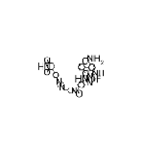 NC(=O)c1ccc(Nc2nc(Nc3ccc(C(=O)N4CCC(CN5CCN(c6ccc(C7CCC(=O)NC7=O)cc6)CC5)CC4)cc3)ncc2F)cc1-c1ccccc1Cl